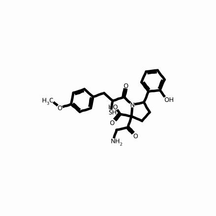 COc1ccc(CC(S)C(=O)N2C(c3ccccc3O)CCC2(C(=O)O)C(=O)CN)cc1